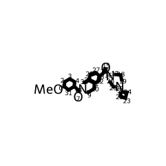 COC1CCCC(C(=O)N2CCc3cc(C(=O)N4CCCN(C5CCC5)CC4)ccc3C2)C1